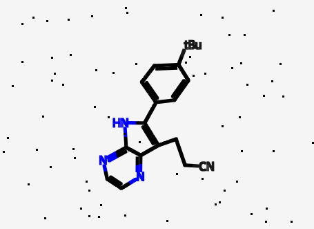 CC(C)(C)c1ccc(-c2[nH]c3nccnc3c2CCC#N)cc1